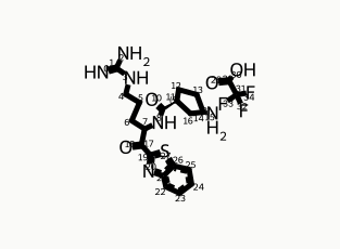 N=C(N)NCCCC(NC(=O)[C@H]1CC[C@@H](N)C1)C(=O)c1nc2ccccc2s1.O=C(O)C(F)(F)F